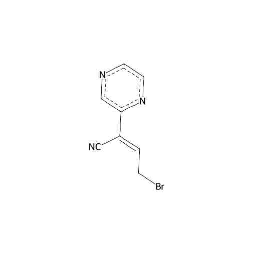 N#CC(=CCBr)c1cnccn1